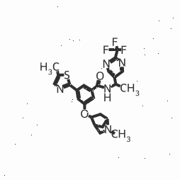 Cc1cnc(-c2cc(OC3CC4CC3CN4C)cc(C(=O)NC(C)c3cnc(C(F)(F)F)nc3)c2)s1